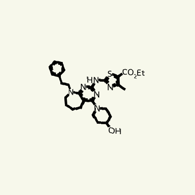 CCOC(=O)c1sc(Nc2nc3c(c(N4CCC(O)CC4)n2)CCCCN3CCc2ccccc2)nc1C